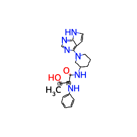 C[C@H](O)[C@@H](Nc1ccccc1)C(=O)NC1CCCN(c2ncnc3[nH]ccc23)C1